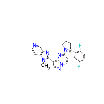 Cn1c(-c2cnn3ccc(N4CCC[C@@H]4c4cc(F)ccc4F)nc23)nc2cnccc21